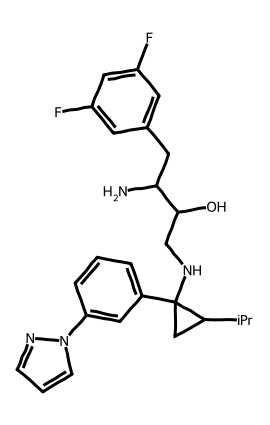 CC(C)C1CC1(NCC(O)C(N)Cc1cc(F)cc(F)c1)c1cccc(-n2cccn2)c1